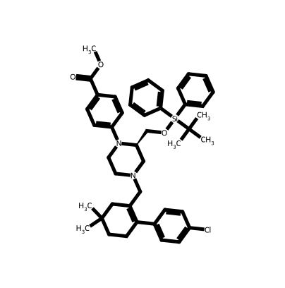 COC(=O)c1ccc(N2CCN(CC3=C(c4ccc(Cl)cc4)CCC(C)(C)C3)C[C@@H]2CO[Si](c2ccccc2)(c2ccccc2)C(C)(C)C)cc1